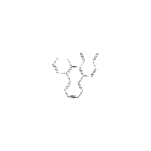 C=C/C=C\c1c(C=C)c(C)c(/C=C\C)c2ccccc12